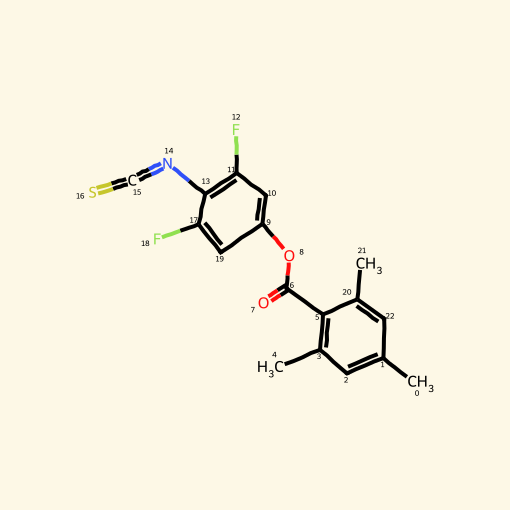 Cc1cc(C)c(C(=O)Oc2cc(F)c(N=C=S)c(F)c2)c(C)c1